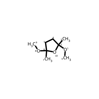 COC1(C)CCC(C)(OC)O1